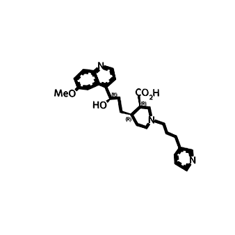 COc1ccc2nccc([C@H](O)CC[C@@H]3CCN(CCCc4cccnc4)C[C@@H]3C(=O)O)c2c1